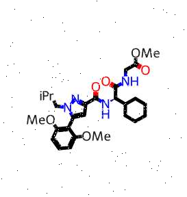 COC(=O)CNC(=O)[C@@H](NC(=O)c1cc(-c2c(OC)cccc2OC)n(CC(C)C)n1)C1CCCCC1